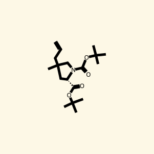 C=CCC1(C)C[C@@H](C(=O)OC(C)(C)C)N(C(=O)OC(C)(C)C)C1